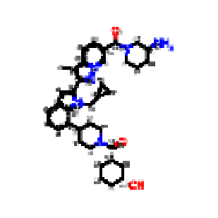 Cc1c(-c2cc3cccc(C4CCN(C(=O)[C@H]5CCC[C@@H](O)C5)CC4)c3n2CC2CC2)nn2cc(C(=O)N3CCCC(N)C3)ccc12